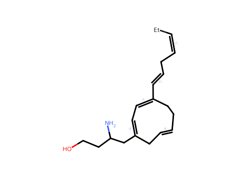 CC/C=C\C/C=C/C1=C/C=C(/CC(N)CCO)C/C=C/CC1